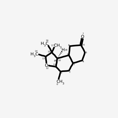 CC1CC2CCC(=O)CC2[C@H]2C1OC(C)C2(C)C